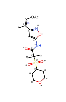 CC(=O)O/C=C(/C)c1cc(NC(=O)C(C)(C)S(=O)(=O)C2CCOCC2)on1